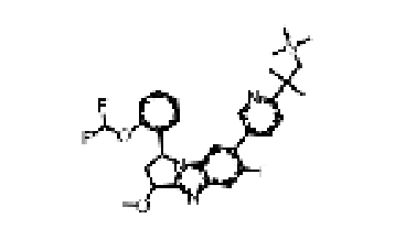 COC1CC(c2ccccc2OC(F)F)n2c1nc1cc(F)c(-c3ccc(C(C)(C)CS(C)(C)C)nc3)cc12